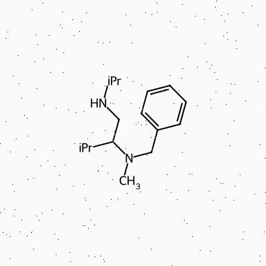 CC(C)NCC(C(C)C)N(C)Cc1ccccc1